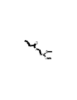 CC=CC(=O)OCC[SiH](OC)OC